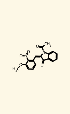 COc1cccc(C=C2C(=O)c3ccccc3N2C(C)=O)c1[N+](=O)[O-]